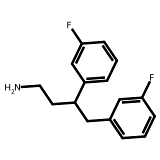 NCCC(Cc1cccc(F)c1)c1cccc(F)c1